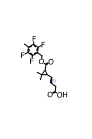 Cc1c(F)c(F)c(COC(=O)C2C(/C=C/CC(=O)O)C2(C)C)c(F)c1F